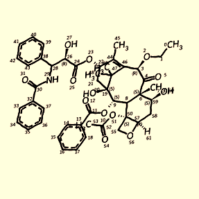 CCO[C@H]1C(=O)[C@@]2(C)C([C@H](OC(=O)c3ccccc3)[C@]3(O)C[C@H](OC(=O)[C@H](O)C(NC(=O)c4ccccc4)c4ccccc4)C(C)=C1C3(C)C)[C@]1(OC(C)=O)CO[C@@H]1C[C@@H]2O